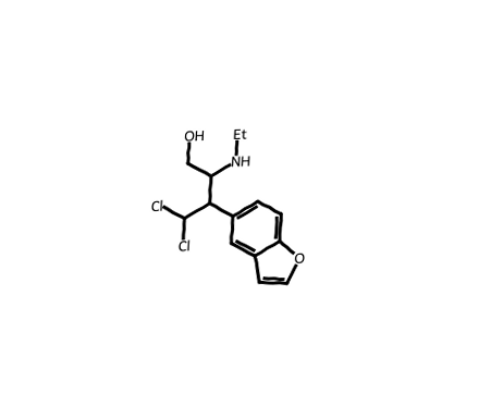 CCNC(CO)C(c1ccc2occc2c1)C(Cl)Cl